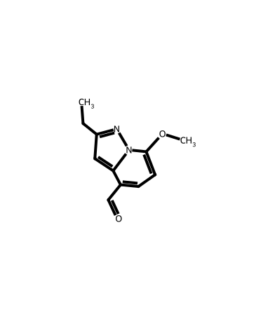 CCc1cc2c(C=O)ccc(OC)n2n1